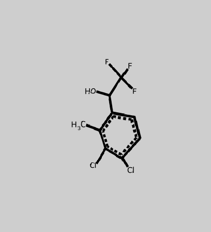 Cc1c(C(O)C(F)(F)F)ccc(Cl)c1Cl